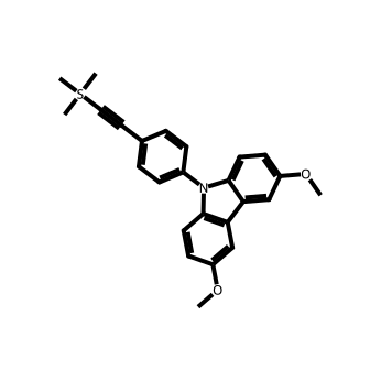 COc1ccc2c(c1)c1cc(OC)ccc1n2-c1ccc(C#CS(C)(C)C)cc1